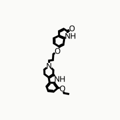 CCOc1cccc2c3c([nH]c12)CN(CCCOc1ccc2ccc(=O)[nH]c2c1)CC3